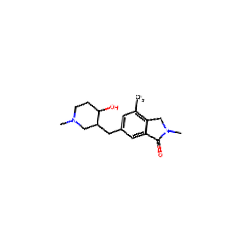 CN1CCC(O)C(Cc2cc3c(c(C(F)(F)F)c2)CN(C)C3=O)C1